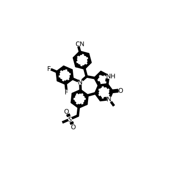 Cn1cc2c3c(c[nH]c3c1=O)C(c1ccc(C#N)cc1)N(c1ccc(F)cc1F)c1ccc(CS(C)(=O)=O)cc1-2